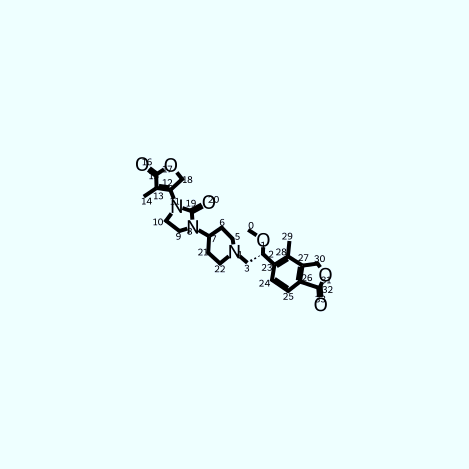 CO[C@@H](CN1CCC(N2CCN(C3=C(C)C(=O)OC3)C2=O)CC1)c1ccc2c(c1C)COC2=O